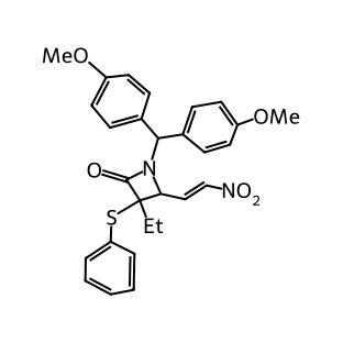 CCC1(Sc2ccccc2)C(=O)N(C(c2ccc(OC)cc2)c2ccc(OC)cc2)C1/C=C/[N+](=O)[O-]